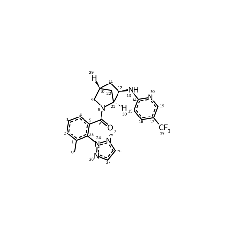 Cc1cccc(C(=O)N2C[C@@H]3C[C@@H](Nc4ccc(C(F)(F)F)cn4)[C@@H]2C3)c1-n1nccn1